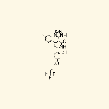 Cc1ccc(-c2cc(-c3ccc(OCCCC(F)(F)F)cc3Cl)[nH]c(=O)c2-c2nnn[nH]2)cc1